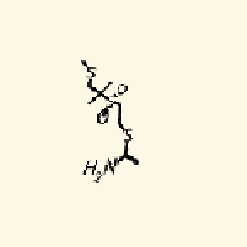 CSCC(C)(C)S(=O)(=O)CCSC(C)N